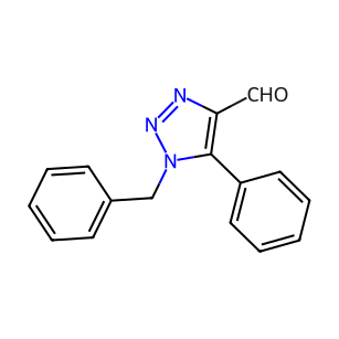 O=Cc1nnn(Cc2ccccc2)c1-c1ccccc1